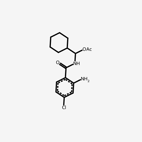 CC(=O)OC(NC(=O)c1ccc(Cl)cc1N)C1CCCCC1